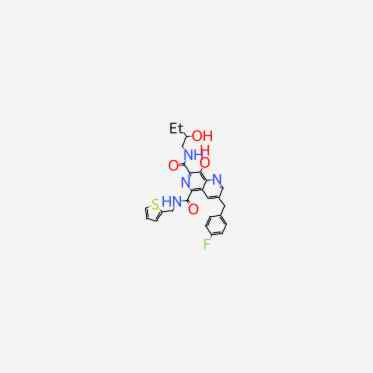 CCC(O)CNC(=O)c1nc(C(=O)NCc2cccs2)c2cc(Cc3ccc(F)cc3)cnc2c1O